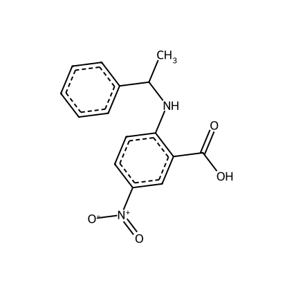 CC(Nc1ccc([N+](=O)[O-])cc1C(=O)O)c1ccccc1